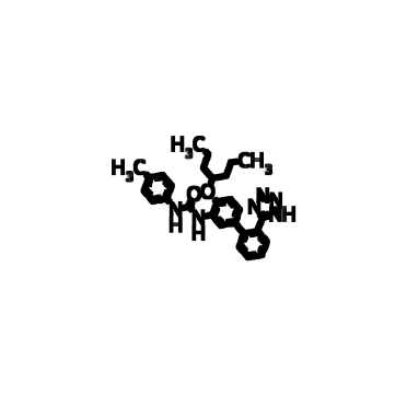 CCCC(CCC)Oc1ccc(-c2ccccc2-c2nnn[nH]2)cc1NC(=O)Nc1ccc(C)cc1